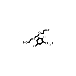 O=C(O)c1cc(Cl)ccc1Cl.OCCOCCOCCO